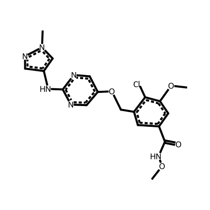 CONC(=O)c1cc(COc2cnc(Nc3cnn(C)c3)nc2)c(Cl)c(OC)c1